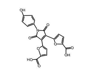 O=C(O)c1ccc(C2=C(c3ccc(C(=O)O)o3)C(=O)N(c3ccc(O)cc3)C2=O)o1